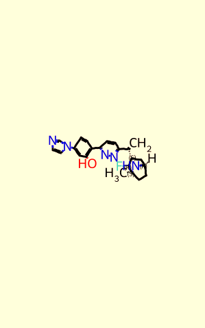 C=C(c1ccc(-c2ccc(-n3ccnc3)cc2O)nn1)[C@@H]1C[C@H]2CC[C@](C)(N2)[C@@H]1F